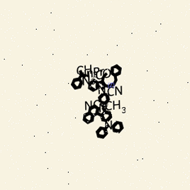 CCCc1c(C)c2ccccc2n1-c1ccc2c(c1)c1c(n2C2=CC(C#N)[C@@](C)(n3c4ccc(N(c5ccccc5)c5ccccc5)cc4c4c5ccccc5ccc43)C=C2C#N)/C=C\Cc2ccccc2OC1C